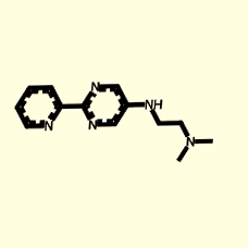 CN(C)CCNc1cnc(-c2ccccn2)nc1